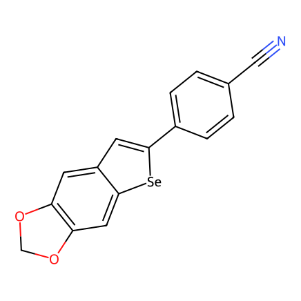 N#Cc1ccc(-c2cc3cc4c(cc3[se]2)OCO4)cc1